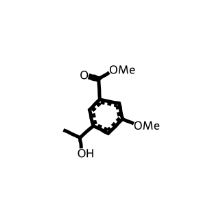 COC(=O)c1cc(OC)cc(C(C)O)c1